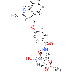 Cc1cc(COc2ccc(C(=O)NC[C@](C)(OC(=O)C(F)(F)F)C(=O)NO)cc2)c2ccccc2n1